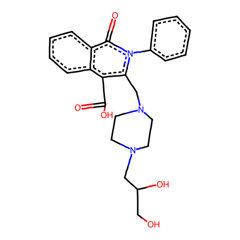 O=C(O)c1c(CN2CCN(CC(O)CO)CC2)n(-c2ccccc2)c(=O)c2ccccc12